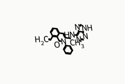 C=Cc1cccc2cc([C@H](C)Nc3ncnc4[nH]cnc34)n(-c3ccccc3)c(=O)c12